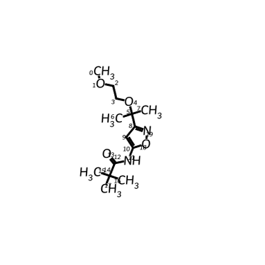 COCCOC(C)(C)c1cc(NC(=O)C(C)(C)C)on1